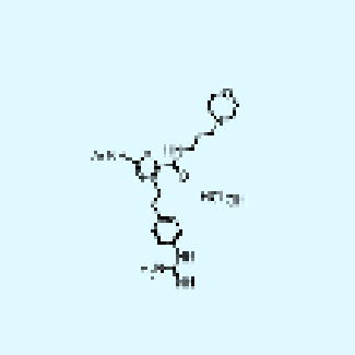 CC(=O)Nc1nc(CCc2ccc(NC(=N)N)cc2)c(C(=O)NCCCN2CCOCC2)s1.Cl.Cl